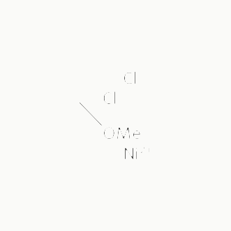 COC.[Cl-].[Cl-].[Ni+2]